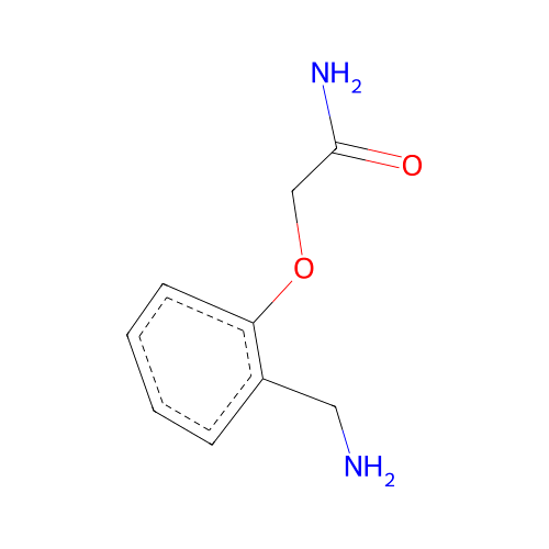 NCc1ccccc1OCC(N)=O